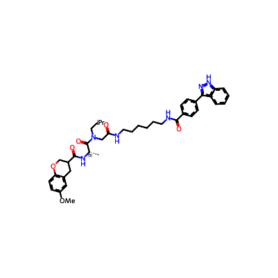 COc1ccc2c(c1)CC(C(=O)N[C@@H](C)C(=O)N(CC(=O)NCCCCCCNC(=O)c1ccc(-c3n[nH]c4ccccc34)cc1)CC(C)C)CO2